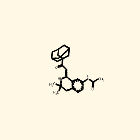 CC(=O)Nc1ccc2c(c1)C(=CC(=O)C13CC4CC(CC(C4)C1)C3)NC(C)(C)C2